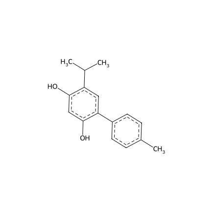 Cc1ccc(-c2cc(C(C)C)c(O)cc2O)cc1